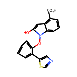 O=C(O)c1cccc2c1cc(O)n2Oc1ccccc1-c1cncs1